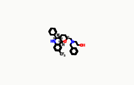 OCCN(Cc1ccccc1)C[C@H]1CC[C@@H]2[C@H](O1)c1cc(C(F)(F)F)ccc1N[C@H]2C1C=CC=CC1